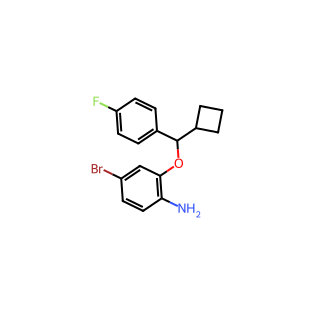 Nc1ccc(Br)cc1OC(c1ccc(F)cc1)C1CCC1